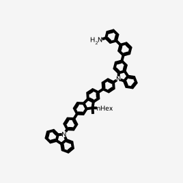 CCCCCCC1(C)c2cc(-c3ccc(-n4c5ccccc5c5cc(-c6cccc(-c7cccc(N)c7)c6)ccc54)cc3)ccc2C2C=CC(c3ccc(-n4c5ccccc5c5ccccc54)cc3)=CC21